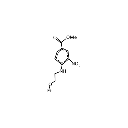 CCOCCNc1ccc(C(=O)OC)cc1[N+](=O)[O-]